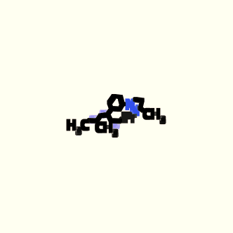 C/C=C(C)/C=C(\C=C/C(C)C)c1cccc(-n2ccc(C)n2)c1